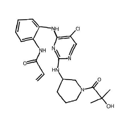 C=CC(=O)Nc1ccccc1Nc1nc(NC2CCCN(C(=O)C(C)(C)O)C2)ncc1Cl